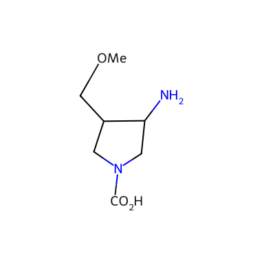 COCC1CN(C(=O)O)CC1N